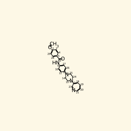 COc1ccc(C(=O)Nc2ccc(N3CCN(C4=CC=C=CN=C4)CC3)cc2)cc1